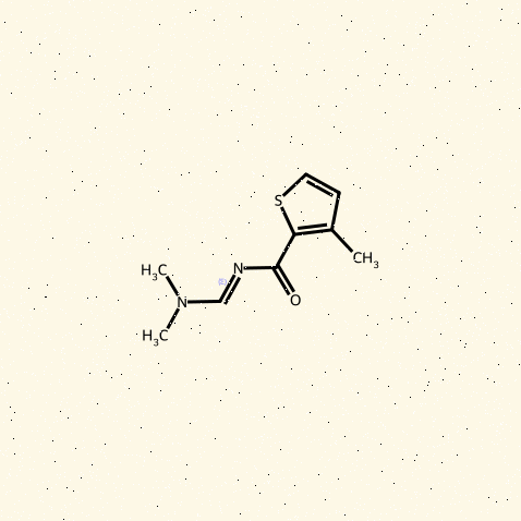 Cc1ccsc1C(=O)/N=C/N(C)C